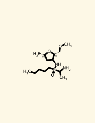 B[C@H]1CC(NP(=O)(CCCCC)C(C)N)[C@@H](COC)O1